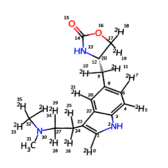 [2H]c1[nH]c2c([2H])c([2H])c(C([2H])([2H])[C@@H]3NC(=O)OC3([2H])[2H])c([2H])c2c1C([2H])([2H])C([2H])([2H])N(C)C([2H])([2H])[2H]